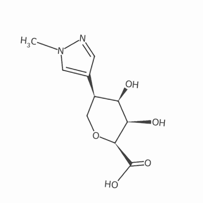 Cn1cc([C@@H]2CO[C@H](C(=O)O)[C@H](O)[C@@H]2O)cn1